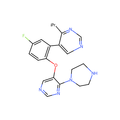 CC(C)c1ncncc1-c1cc(F)ccc1Oc1cncnc1N1CCNCC1